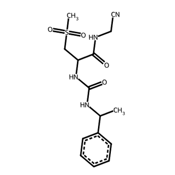 CC(NC(=O)NC(CS(C)(=O)=O)C(=O)NCC#N)c1ccccc1